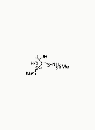 CSSNSCC(SSSC)P(=O)(O)O